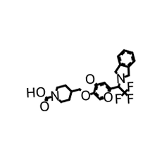 O=C(O)N1CCC(COc2coc(C(N3Cc4ccccc4C3)C(F)(F)F)cc2=O)CC1